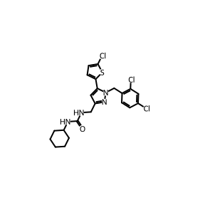 O=C(NCc1cc(-c2ccc(Cl)s2)n(Cc2ccc(Cl)cc2Cl)n1)NC1CCCCC1